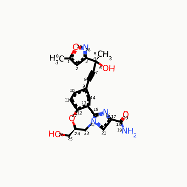 Cc1cc([C@@](C)(O)C#Cc2ccc3c(c2)-c2nc(C(N)=O)cn2C[C@@H](CO)O3)no1